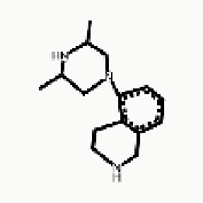 CC1CN(c2cccc3c2CCNC3)CC(C)N1